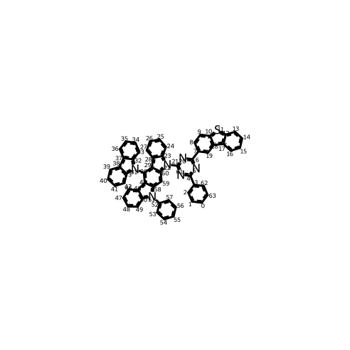 c1ccc(-c2nc(-c3ccc4sc5ccccc5c4c3)nc(-n3c4ccccc4c4c(-n5c6ccccc6c6ccccc65)c5c6ccccc6n(-c6ccccc6)c5cc43)n2)cc1